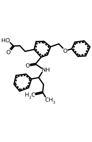 C=C(C)CC(NC(=O)c1cc(COc2ccccc2)ccc1CCC(=O)O)c1ccccc1